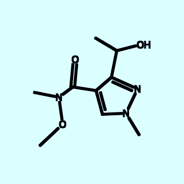 CON(C)C(=O)c1cn(C)nc1C(C)O